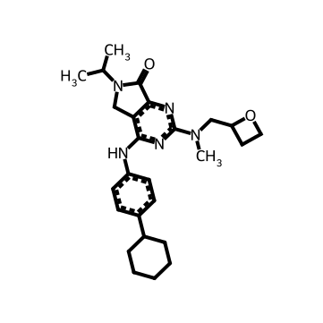 CC(C)N1Cc2c(Nc3ccc(C4CCCCC4)cc3)nc(N(C)CC3CCO3)nc2C1=O